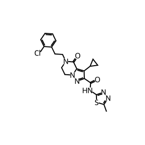 Cc1nnc(NC(=O)c2nn3c(c2C2CC2)C(=O)N(CCc2ccccc2Cl)CC3)s1